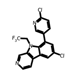 FC(F)(F)Cn1c2cnccc2c2cc(Cl)cc(-c3ccc(Cl)nc3)c21